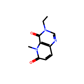 CCn1cnc2ccc(=O)n(C)c2c1=O